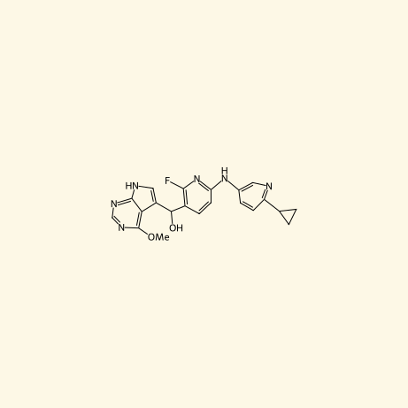 COc1ncnc2[nH]cc(C(O)c3ccc(Nc4ccc(C5CC5)nc4)nc3F)c12